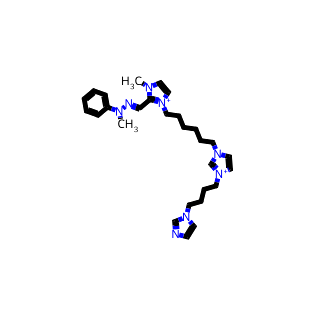 CN(N=Cc1n(C)cc[n+]1CCCCCCn1cc[n+](CCCCn2ccnc2)c1)c1ccccc1